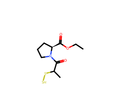 CCOC(=O)[C@@H]1CCCN1C(=O)C(C)SS